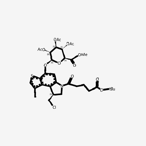 COC(=O)[C@H]1O[C@@H](Oc2cc3c(c4c(C)csc24)[C@H](CCl)CN3C(=O)CCCC(=O)OC(C)(C)C)[C@H](OC(C)=O)[C@@H](OC(C)=O)[C@@H]1OC(C)=O